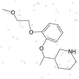 COCCOc1ccccc1OC(C)C1CCCNC1